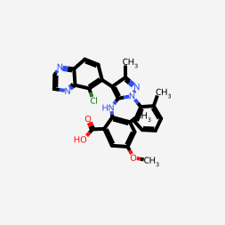 COc1cc(C)c(Nc2c(-c3ccc4nccnc4c3Cl)c(C)nn2-c2ccccc2C)c(C(=O)O)c1